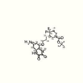 C[C@@H]1CN(C(=O)OC(C)(C)C)C[C@H](CCCOc2cc(N)cc3[nH]c(=O)c(=O)n(C)c23)C1(F)F